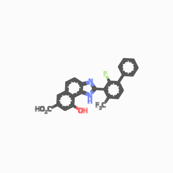 O=C(O)c1cc(O)c2c(ccc3nc(-c4c(C(F)(F)F)ccc(-c5ccccc5)c4F)[nH]c32)c1